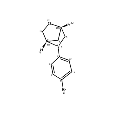 Brc1ccc(N2C[C@@H]3C[C@H]2CO3)cc1